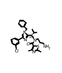 Cc1nc(C)c(C(=O)N(CCCN)[C@@H](c2nc(-c3cccc(Cl)c3)cn2Cc2ccccc2)C(C)C)s1